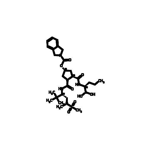 CCC[C@H](NC(=O)[C@@H]1C[C@@H](OC(=O)N2Cc3ccccc3C2)CN1C(=O)N[C@H](CN(C)S(C)(=O)=O)C(C)(C)C)B(O)O